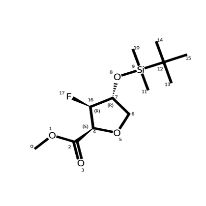 COC(=O)[C@@H]1OC[C@@H](O[Si](C)(C)C(C)(C)C)[C@@H]1F